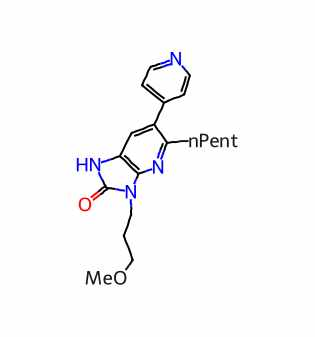 CCCCCc1nc2c(cc1-c1ccncc1)[nH]c(=O)n2CCCOC